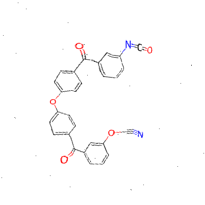 N#COc1cccc(C(=O)c2ccc(Oc3ccc(C(=O)c4cccc(N=C=O)c4)cc3)cc2)c1